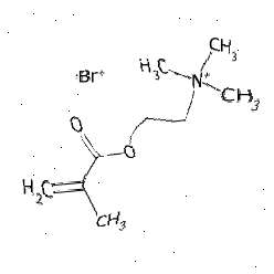 C=C(C)C(=O)OCC[N+](C)(C)C.[Br+]